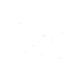 N#CC1=C(c2cc(-c3ccccc3)cc(-c3ccccc3)c2)N=P(c2ccccc2)(c2ccccc2)N=C1c1ccccc1